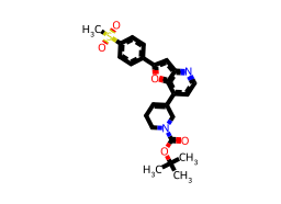 CC(C)(C)OC(=O)N1CCC=C(c2ccnc3cc(-c4ccc(S(C)(=O)=O)cc4)oc23)C1